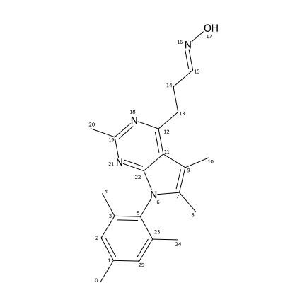 Cc1cc(C)c(-n2c(C)c(C)c3c(CCC=NO)nc(C)nc32)c(C)c1